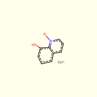 [Cu+2].[O-][n+]1cccc2cccc(O)c21